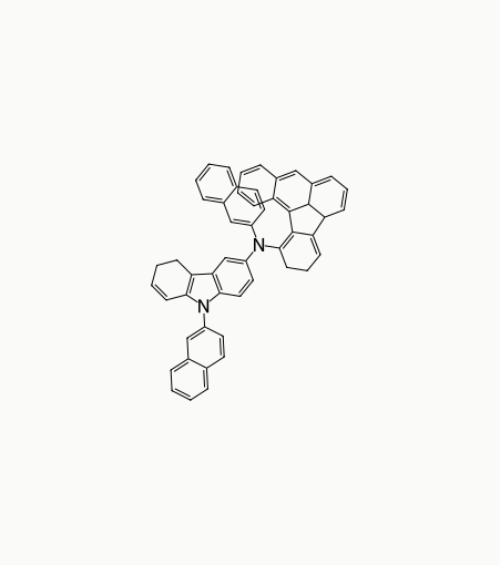 C1=CC2C3=CCCC(N(c4ccc5ccccc5c4)c4ccc5c(c4)c4c(n5-c5ccc6ccccc6c5)C=CCC4)=C3C3=c4ccccc4=CC(=C1)C32